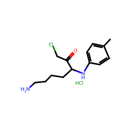 Cc1ccc(NC(CCCCN)C(=O)CCl)cc1.Cl